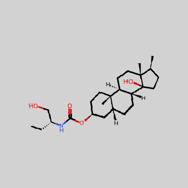 CC[C@H](CO)NC(=O)O[C@H]1CC[C@@]2(C)[C@H](CC[C@@H]3[C@@H]2CC[C@]2(C)[C@@H](C)CC[C@]32O)C1